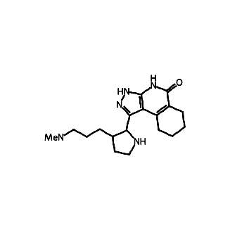 CNCCCC1CCNC1c1n[nH]c2[nH]c(=O)c3c(c12)CCCC3